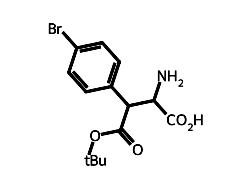 CC(C)(C)OC(=O)C(c1ccc(Br)cc1)C(N)C(=O)O